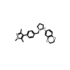 Cc1nn(C)c(C)c1-c1ccc(CN2CCC[C@@H]2c2ccc3c(c2)OCCO3)cc1